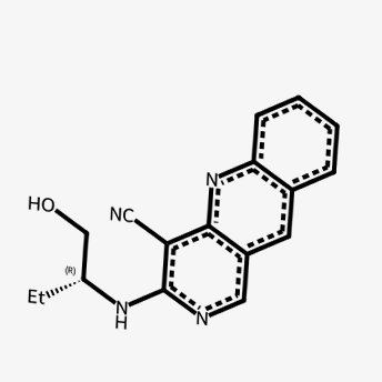 CC[C@H](CO)Nc1ncc2cc3ccccc3nc2c1C#N